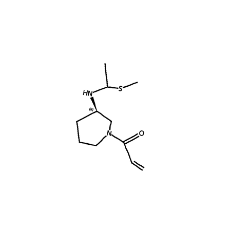 C=CC(=O)N1CCC[C@@H](NC(C)SC)C1